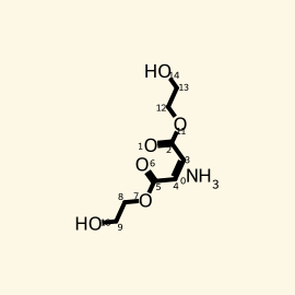 N.O=C(/C=C\C(=O)OCCO)OCCO